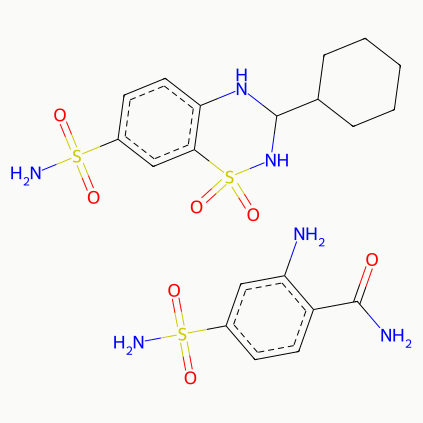 NC(=O)c1ccc(S(N)(=O)=O)cc1N.NS(=O)(=O)c1ccc2c(c1)S(=O)(=O)NC(C1CCCCC1)N2